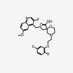 COc1ccc2ncc(F)c(CCCC3(C(=O)O)CN(CCSc4cc(F)ccc4F)CCO3)c2c1